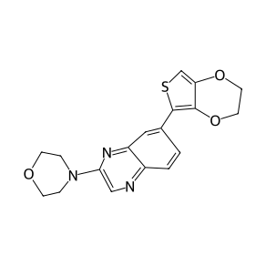 c1cc2ncc(N3CCOCC3)nc2cc1-c1scc2c1OCCO2